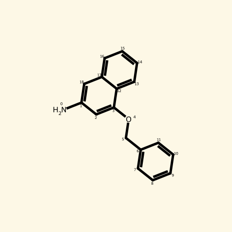 Nc1cc(OCc2ccccc2)c2ccccc2c1